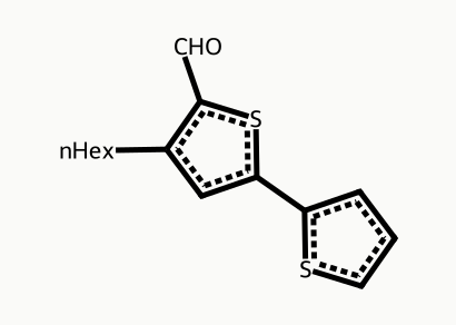 CCCCCCc1cc(-c2cccs2)sc1C=O